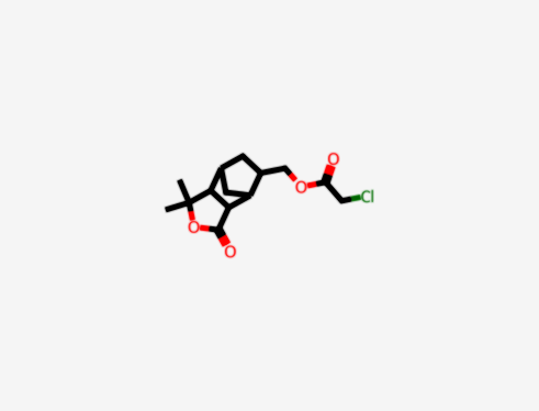 CC1(C)OC(=O)C2C3CC(CC3COC(=O)CCl)C21